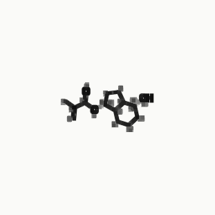 C=C(C)C(=O)O[C@@H]1CCC2C1CCC[C@H]2O